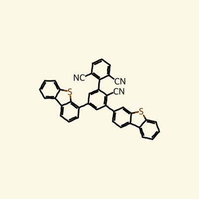 N#Cc1cccc(C#N)c1-c1cc(-c2cccc3c2sc2ccccc23)cc(-c2ccc3c(c2)sc2ccccc23)c1C#N